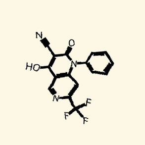 N#Cc1c(O)c2cnc(C(F)(F)F)cc2n(-c2ccccc2)c1=O